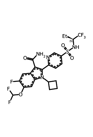 CC[C@H](NS(=O)(=O)c1ccc(-c2c(C(N)=O)c3cc(F)c(OC(F)F)cc3n2C2CCC2)nc1)C(F)(F)F